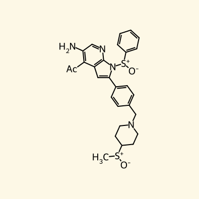 CC(=O)c1c(N)cnc2c1cc(-c1ccc(CN3CCC([S+](C)[O-])CC3)cc1)n2[S+]([O-])c1ccccc1